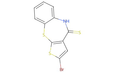 S=C1Nc2ccccc2Sc2sc(Br)cc21